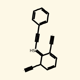 [C]#CC1=CC=CC(C#[C])C1=[SiH]C#Cc1ccccc1